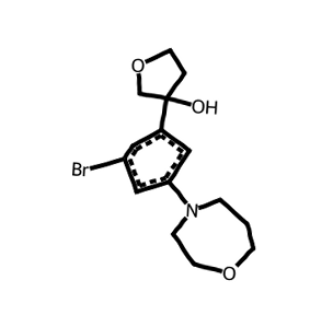 OC1(c2cc(Br)cc(N3CCCOCC3)c2)CCOC1